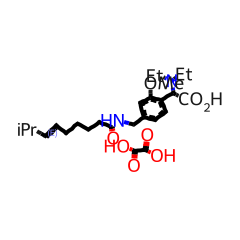 CCN(CC)C(C(=O)O)c1ccc(CNC(=O)CCCC/C=C/C(C)C)cc1OC.O=C(O)C(=O)O